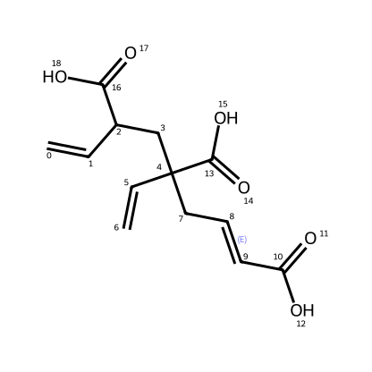 C=CC(CC(C=C)(C/C=C/C(=O)O)C(=O)O)C(=O)O